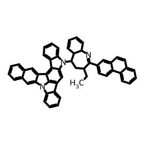 CCC1CC(n2c3ccccc3c3c4c5cc6ccccc6cc5n5c6ccccc6c(cc32)c45)C2C=CC=CC2N=C1c1ccc2c(ccc3ccccc32)c1